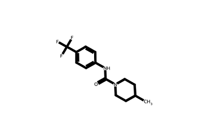 CC1CCN(C(=O)Nc2ccc(C(F)(F)F)cc2)CC1